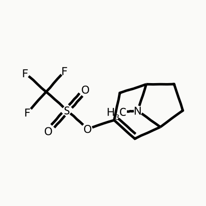 CN1C2C=C(OS(=O)(=O)C(F)(F)F)CC1CC2